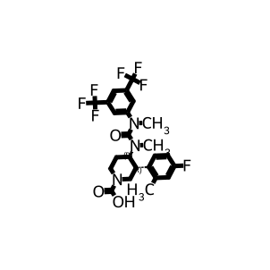 Cc1cc(F)ccc1[C@@H]1CN(C(=O)O)CC[C@H]1N(C)C(=O)N(C)c1cc(C(F)(F)F)cc(C(F)(F)F)c1